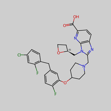 O=C(O)c1ccc2nc(CN3CCC(Oc4cc(Cc5ccc(Cl)cc5F)ccc4F)CC3)n(C[C@@H]3CCO3)c2n1